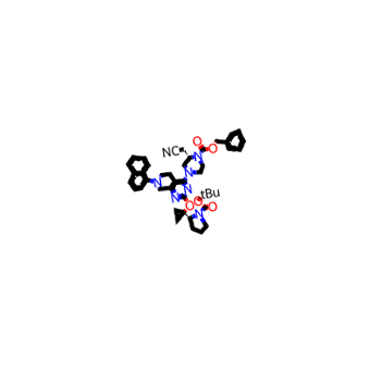 CC(C)(C)OC(=O)N1CCC[C@@H]1C1(Oc2nc3c(c(N4CCN(C(=O)OCc5ccccc5)[C@@H](CC#N)C4)n2)CCN(c2cccc4ccccc24)C3)CC1